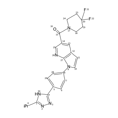 CC(C)c1nnc(-c2ccc(-n3ccc4cc(C(=O)N5CCC(F)(F)CC5)cnc43)cc2)[nH]1